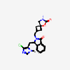 Cn1cnc(Cl)c1CC1c2ccccc2C(=O)N1CC1CC2(CNC(=O)O2)C1